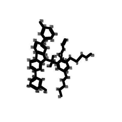 C=CCOc1c(CCCCC)cc(CCCCC)cc1[Si](C)(C)C1c2cc(-c3cccc(C)c3)ccc2-c2ccc(-c3cccc(C)c3)cc21